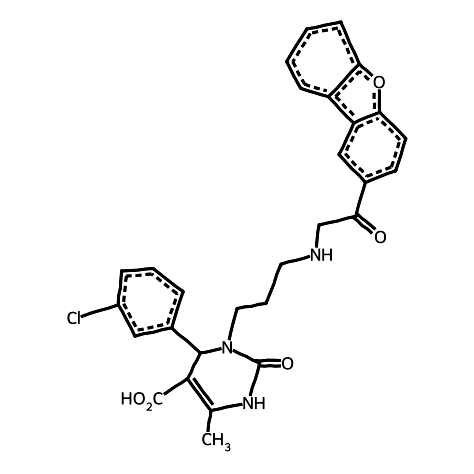 CC1=C(C(=O)O)C(c2cccc(Cl)c2)N(CCCNCC(=O)c2ccc3oc4ccccc4c3c2)C(=O)N1